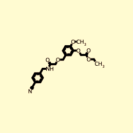 CCOC(=O)COc1cc(COCC(=O)NCc2ccc(C#N)cc2)ccc1OC